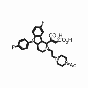 CC(=O)N1CCN(CCN2CCC3C(c4cc(F)ccc4N3c3ccc(F)cc3)C2/C(=C/C(=O)O)C(=O)O)CC1